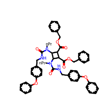 CCCN(C(=O)NCc1ccc(Oc2ccccc2)cc1)C1C(C(=O)OCc2ccccc2)C(C(=O)OCc2ccccc2)C1N(CCC)C(=O)NCc1ccc(Oc2ccccc2)cc1